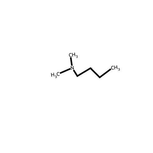 CC[CH]CN(C)C